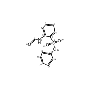 O=[C]Nc1ccccc1S(=O)(=O)Oc1ccccc1